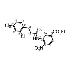 CCOC(=O)c1ccc([N+](=O)[O-])c(NC(=O)CCc2ccc(Cl)cc2Cl)c1